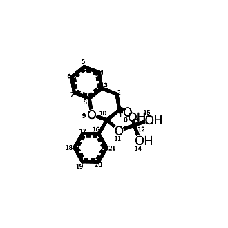 O=C1Cc2ccccc2OC1(OC(O)(O)O)c1ccccc1